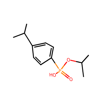 CC(C)OP(=O)(O)c1ccc(C(C)C)cc1